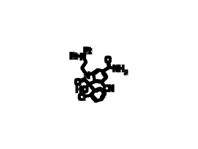 CCN(CC)CCN1C(=O)C(O)(c2ccccc2Cl)c2c(C#N)cc(C(N)=O)cc21